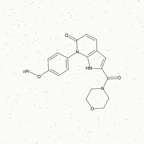 CCCOc1ccc(-n2c(=O)ccc3cc(C(=O)N4CCOCC4)[nH]c32)cc1